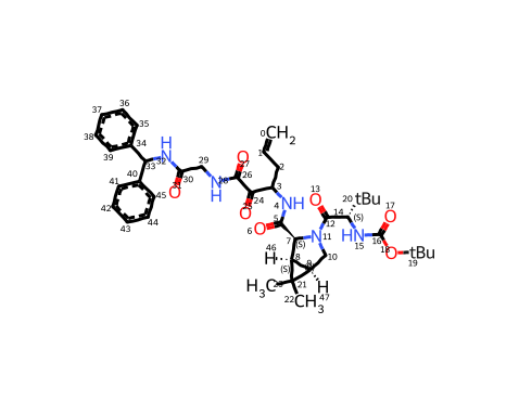 C=CCC(NC(=O)[C@@H]1[C@H]2[C@@H](CN1C(=O)[C@@H](NC(=O)OC(C)(C)C)C(C)(C)C)C2(C)C)C(=O)C(=O)NCC(=O)NC(c1ccccc1)c1ccccc1